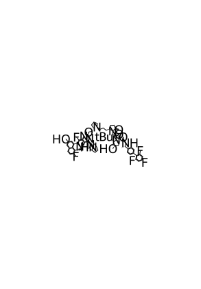 C#Cc1c(F)ccc2cc(O)cc(-c3ncc4c(N5CC6CCC(C5)N6)nc(OC[C@@H]5CCCN5CCC[C@H]5CCC(=O)N5[C@H](C(=O)N5C[C@H](O)C[C@H]5C(=O)N[C@@H](C)c5ccc(-c6c(F)cc(F)cc6F)cc5)C(C)(C)C)nc4c3F)c12